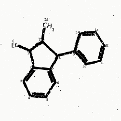 CCC1c2ccccc2C(c2ccccc2)C1C